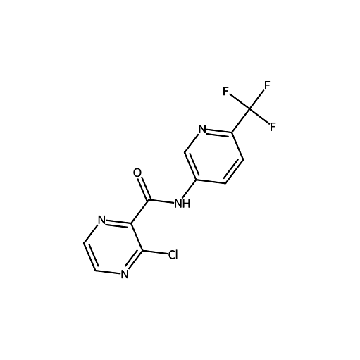 O=C(Nc1ccc(C(F)(F)F)nc1)c1nccnc1Cl